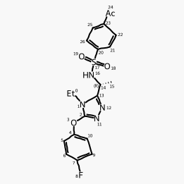 CCn1c(Oc2ccc(F)cc2)nnc1[C@@H](C)NS(=O)(=O)c1ccc(C(C)=O)cc1